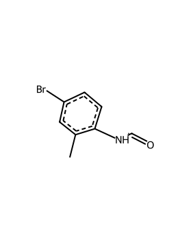 Cc1cc(Br)ccc1N[C]=O